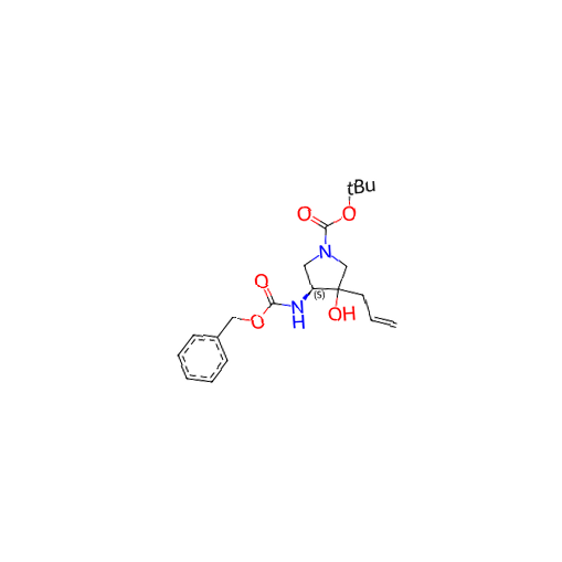 C=CCC1(O)CN(C(=O)OC(C)(C)C)C[C@@H]1NC(=O)OCc1ccccc1